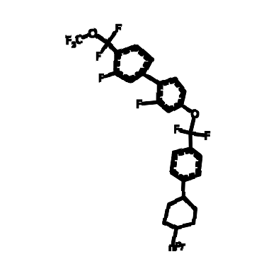 CCCC1CCC(c2ccc(C(F)(F)Oc3ccc(-c4ccc(C(F)(F)OC(F)(F)F)c(F)c4)c(F)c3)cc2)CC1